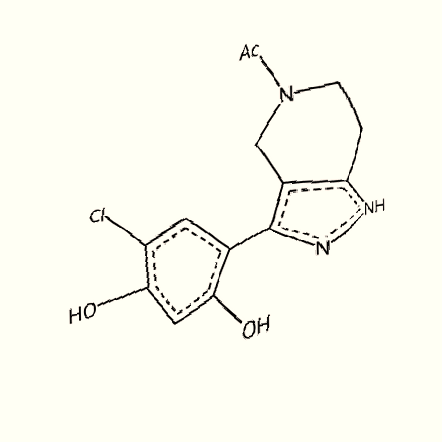 CC(=O)N1CCc2[nH]nc(-c3cc(Cl)c(O)cc3O)c2C1